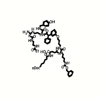 CCCCCCCCCCCCCCCC(=O)N[C@@H](CCC(=O)N[C@@H](CCCCNC(=O)OCc1ccccc1)C(=O)NCCCCOc1cccc(C(C(=O)N[C@H](CCCN/C(N)=N\C(=O)NCCNC(=O)CC)C(=O)NCc2ccc(O)cc2)c2ccccc2)c1)C(=O)O